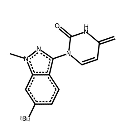 C=C1C=CN(c2nn(C)c3cc(C(C)(C)C)ccc23)C(=O)N1